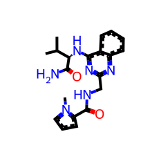 CC(C)[C@H](Nc1nc(CNC(=O)c2cccn2C)nc2ccccc12)C(N)=O